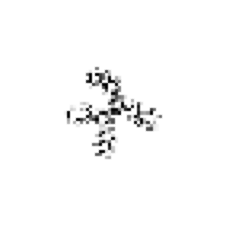 c1ccc2cc(-c3cc(-c4ccc5ccccc5c4)cc(-c4nc(-c5ccc6c(c5)oc5ccccc56)nc(-c5ccc6oc7ccccc7c6c5)n4)c3)ccc2c1